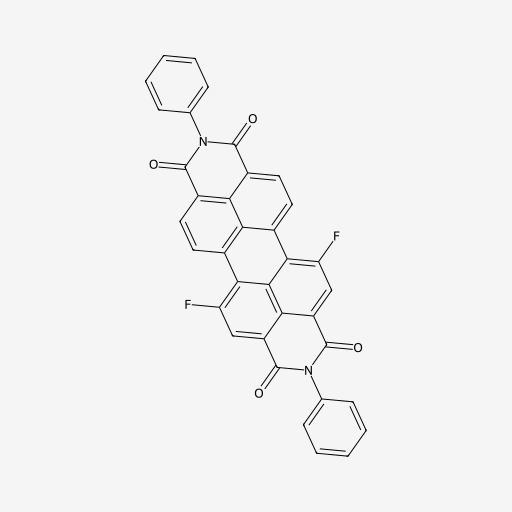 O=C1c2ccc3c4c(F)cc5c6c(cc(F)c(c7ccc(c2c37)C(=O)N1c1ccccc1)c64)C(=O)N(c1ccccc1)C5=O